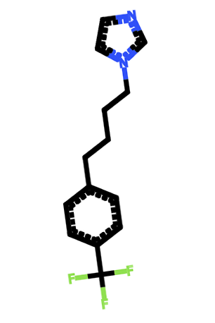 FC(F)(F)c1ccc(CCCCn2ccnc2)cc1